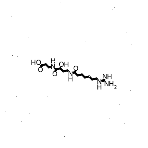 N=C(N)NCCCCCCC(=O)NCC[C@H](O)C(=O)NCCC(=O)O